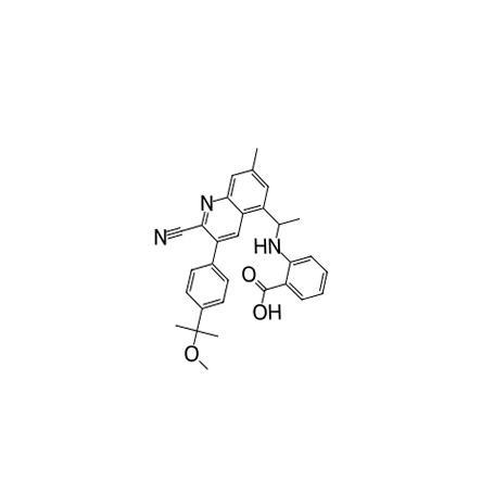 COC(C)(C)c1ccc(-c2cc3c(C(C)Nc4ccccc4C(=O)O)cc(C)cc3nc2C#N)cc1